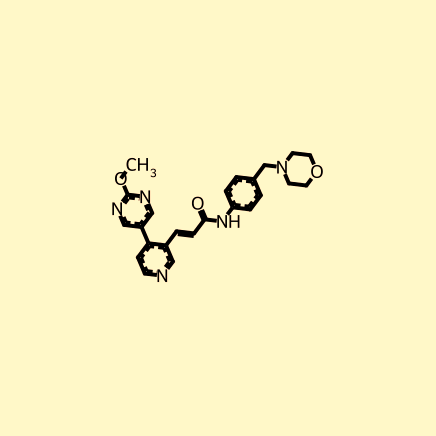 COc1ncc(-c2ccncc2C=CC(=O)Nc2ccc(CN3CCOCC3)cc2)cn1